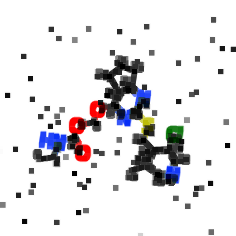 CCNC(=O)OCOc1nc(SCc2c(C)cncc2Cl)nc2c1CCC2